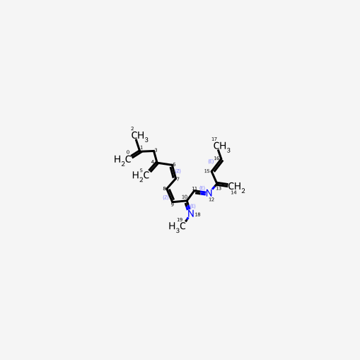 C=C(C)CC(=C)\C=C/C=C\C(\C=N\C(=C)/C=C/C)=N/C